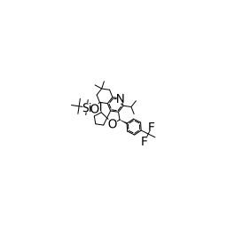 CC(C)c1nc2c(c3c1[C@@H](c1ccc(C(C)(F)F)cc1)OC31CCCC1I)[C@@H](O[Si](C)(C)C(C)(C)C)CC(C)(C)C2